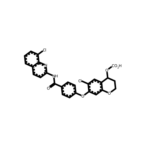 O=C(O)OC1CCOc2cc(Oc3ccc(C(=O)Nc4ccc5cccc(Cl)c5n4)cc3)c(Cl)cc21